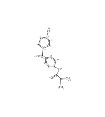 C=C(C)C(=O)Oc1ccc(C(=O)c2ccc(Cl)cc2)cc1